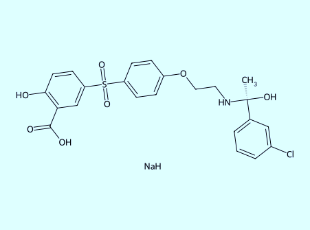 C[C@@](O)(NCCOc1ccc(S(=O)(=O)c2ccc(O)c(C(=O)O)c2)cc1)c1cccc(Cl)c1.[NaH]